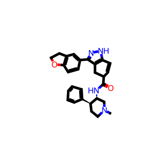 CN1CC[C@@H](c2ccccc2)[C@H](NC(=O)C2C=Cc3[nH]nc(-c4ccc5c(c4)CCO5)c3C2)C1